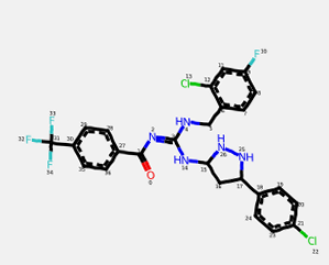 O=C(/N=C(/NCc1ccc(F)cc1Cl)NC1CC(c2ccc(Cl)cc2)NN1)c1ccc(C(F)(F)F)cc1